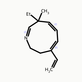 C=C/C1=C/C=C\C(C)(CC)/C=N\CC1